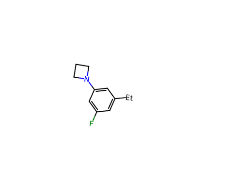 CCc1cc(F)cc(N2CCC2)c1